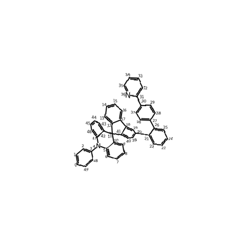 c1ccc(N2c3ccccc3C3(c4ccccc4-c4cc(-c5ccccc5-c5ccc(-c6ccccn6)cc5)ccc43)c3ccccc32)cc1